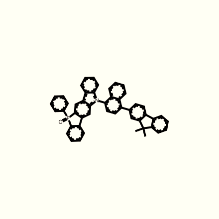 CC1(C)c2ccccc2-c2ccc(-c3ccc(-n4c5ccccc5c5cc6c(cc54)-c4ccccc4P6(=O)c4ccccc4)c4ccccc34)cc21